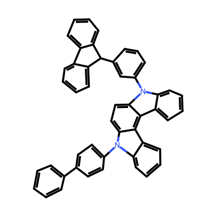 c1ccc(-c2ccc(-n3c4ccccc4c4c5c6ccccc6n(-c6cccc(C7c8ccccc8-c8ccccc87)c6)c5ccc43)cc2)cc1